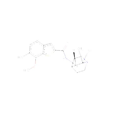 COc1c(C)ccc2cc(C(=O)N[C@H]3C4CCN(CC4)C3(C)C)sc12